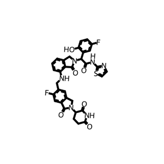 O=C1CCC(N2Cc3cc(CNc4cccc5c4C(=O)N(C(C(=O)Nc4nccs4)c4cc(F)ccc4O)C5)c(F)cc3C2=O)C(=O)N1